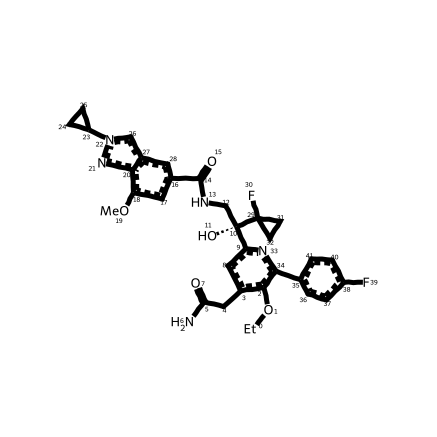 CCOc1c(CC(N)=O)cc([C@@](O)(CNC(=O)c2cc(OC)c3nn(C4CC4)cc3c2)C2(F)CC2)nc1-c1ccc(F)cc1